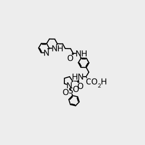 O=C(CCCC1CCc2cccnc2N1)Nc1ccc(C[C@H](NC(=O)[C@@H]2CCCN2S(=O)(=O)c2ccccc2)C(=O)O)cc1